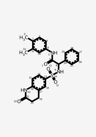 Cc1ccc(NC(=O)C(NS(=O)(=O)c2ccc3c(c2)CCC(=O)N3)c2ccccc2)cc1C